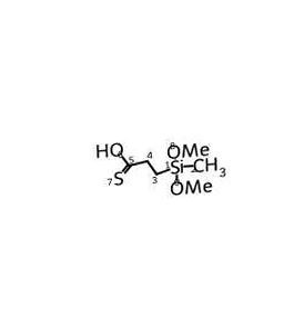 CO[Si](C)(CCC(O)=S)OC